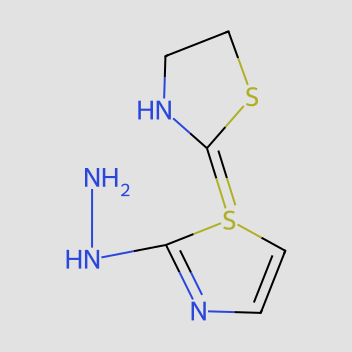 NNC1=NC=CS1=C1NCCS1